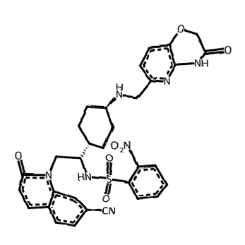 N#Cc1ccc2ccc(=O)n(CC(NS(=O)(=O)c3ccccc3[N+](=O)[O-])[C@H]3CC[C@H](NCc4ccc5c(n4)NC(=O)CO5)CC3)c2c1